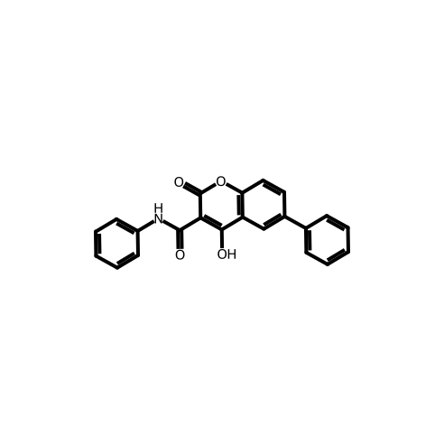 O=C(Nc1ccccc1)c1c(O)c2cc(-c3ccccc3)ccc2oc1=O